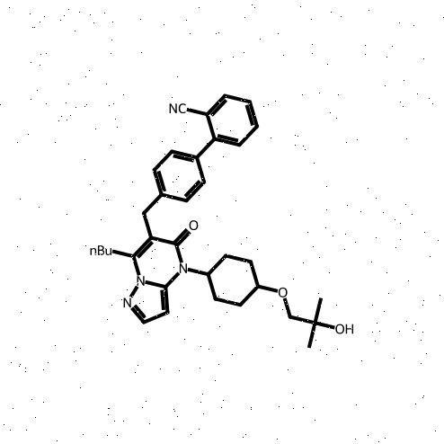 CCCCc1c(Cc2ccc(-c3ccccc3C#N)cc2)c(=O)n(C2CCC(OCC(C)(C)O)CC2)c2ccnn12